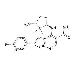 CC1(C)[C@H](N)CC[C@H]1Nc1c(C(N)=O)cnn2cc(-c3ccc(F)nc3)cc12